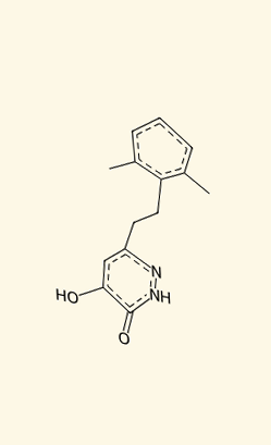 Cc1cccc(C)c1CCc1cc(O)c(=O)[nH]n1